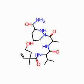 C=CC(C)(CCO)C(=O)NC(C(=O)NC(C)C(=O)N1CCCC(C(N)=O)N1)C(C)C